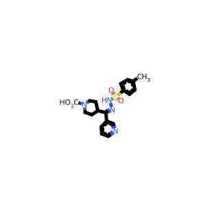 Cc1ccc(S(=O)(=O)NN=C(c2cccnc2)C2CCN(C(=O)O)CC2)cc1